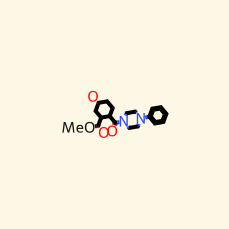 COC(=O)C1CC(=O)CCC1C(=O)N1CCN(c2ccccc2)CC1